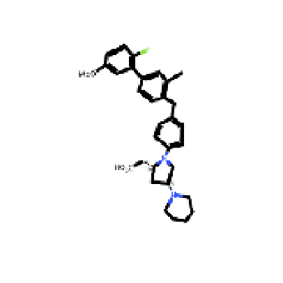 COc1ccc(F)c(-c2ccc(Cc3ccc(N4C[C@H](N5CCCCC5)C[C@@H]4CC(=O)O)cc3)c(C)c2)c1